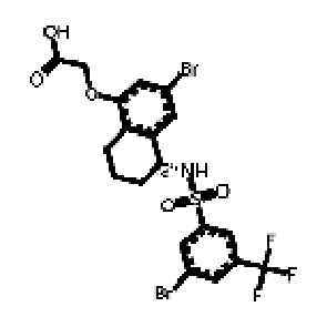 O=C(O)COc1cc(Br)cc2c1CCC[C@H]2NS(=O)(=O)c1cc(Br)cc(C(F)(F)F)c1